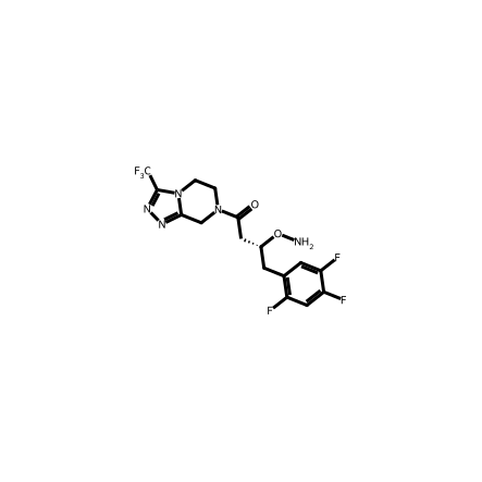 NO[C@@H](CC(=O)N1CCn2c(nnc2C(F)(F)F)C1)Cc1cc(F)c(F)cc1F